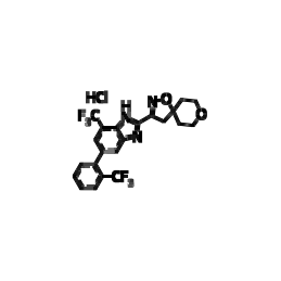 Cl.FC(F)(F)c1ccccc1-c1cc(C(F)(F)F)c2[nH]c(C3=NOC4(CCOCC4)C3)nc2c1